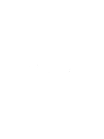 COC(=O)CCCCCCCC(=O)OC(C)(C)C